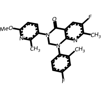 COc1ccc(N2CN(c3ccc(F)cc3C)c3nc(C)c(F)cc3C2=O)c(C)n1